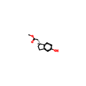 COC(=O)C[C@H]1CCc2cc(O)ccc21